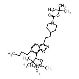 CCCCc1ccc2c(CCC3CCN(C(=O)OC(C)(C)C)CC3)noc2c1C(O[SiH](C)C)C(C)(C)C